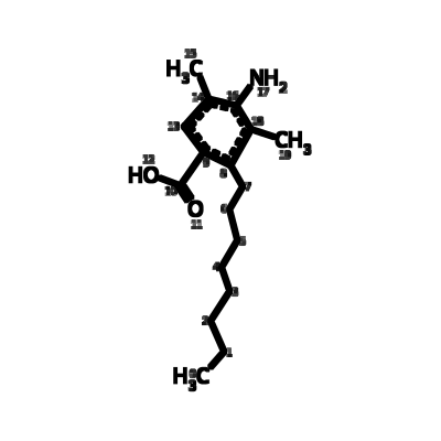 CCCCCCCCc1c(C(=O)O)cc(C)c(N)c1C